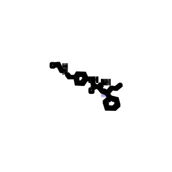 CCC/C(=C\C(=N)C(=O)Nc1ccc(CNCC=O)cc1)c1ccccc1